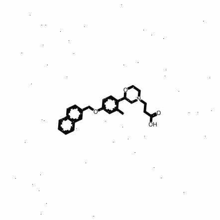 Cc1cc(OCc2ccc3ccccc3c2)ccc1C1CN(CCC(=O)O)CCO1